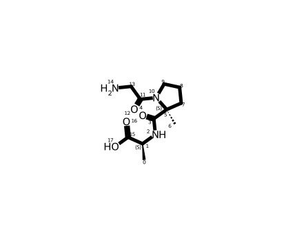 C[C@H](NC(=O)[C@]1(C)CCCN1C(=O)CN)C(=O)O